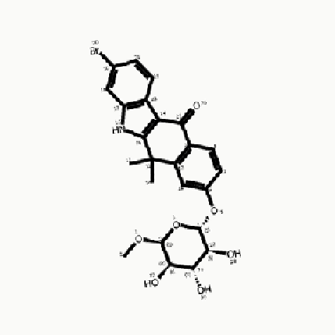 CO[C@H]1O[C@H](Oc2ccc3c(c2)C(C)(C)c2[nH]c4cc(Br)ccc4c2C3=O)[C@@H](O)[C@H](O)[C@H]1O